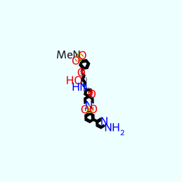 CNS(=O)(=O)c1cccc(OC[C@@H](O)CN[C@@H]2COC3(CCN(S(=O)(=O)c4cccc(-c5ccc(N)nc5)c4)CC3)C2)c1